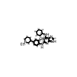 CCN1CCCC(c2ccc(Nc3nc(NC4CCCCC4)c4nc[nH]c4n3)c(OC)c2)C1